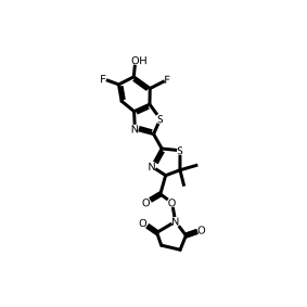 CC1(C)SC(c2nc3cc(F)c(O)c(F)c3s2)=NC1C(=O)ON1C(=O)CCC1=O